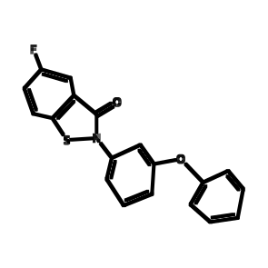 O=c1c2cc(F)ccc2sn1-c1cccc(Oc2ccccc2)c1